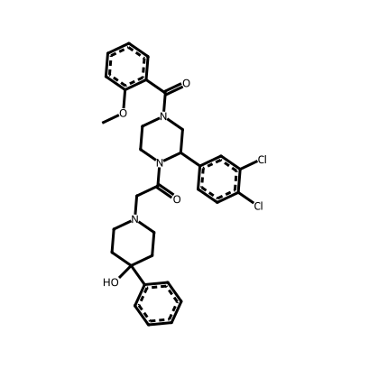 COc1ccccc1C(=O)N1CCN(C(=O)CN2CCC(O)(c3ccccc3)CC2)C(c2ccc(Cl)c(Cl)c2)C1